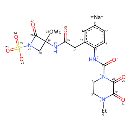 CCN1CCN(C(=O)Nc2ccccc2CC(=O)NC2(OC)CN(S(=O)(=O)[O-])C2=O)C(=O)C1=O.[Na+]